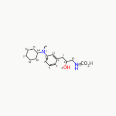 CN(c1cccc(CC(O)CNC(=O)O)c1)C1CCCCC1